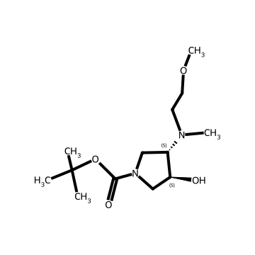 COCCN(C)[C@H]1CN(C(=O)OC(C)(C)C)C[C@@H]1O